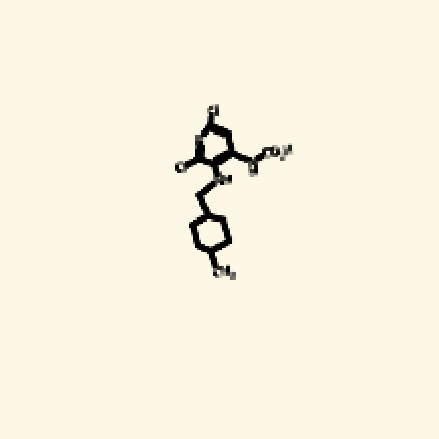 CC1CCC(CNc2c(NC(=O)O)cc(Cl)nc2Cl)CC1